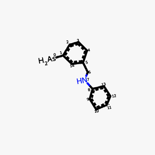 [AsH2]c1cccc(CNc2cc[c]cc2)c1